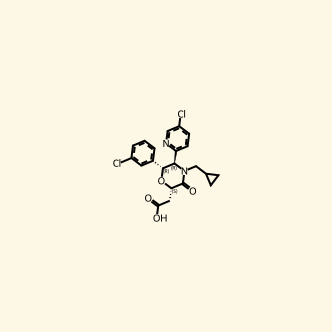 O=C(O)C[C@@H]1O[C@H](c2cccc(Cl)c2)[C@@H](c2ccc(Cl)cn2)N(CC2CC2)C1=O